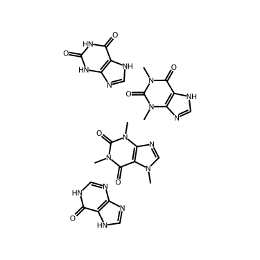 Cn1c(=O)c2[nH]cnc2n(C)c1=O.Cn1c(=O)c2c(ncn2C)n(C)c1=O.O=c1[nH]c(=O)c2[nH]cnc2[nH]1.O=c1[nH]cnc2nc[nH]c12